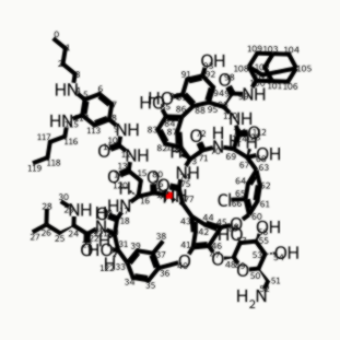 CCCCNc1ccc(NC(=O)NC(=O)C[C@@H]2NC(=O)[C@H](NC(=O)[C@@H](CC(C)C)NC)[C@H](O)c3ccc(c(C)c3)Oc3cc4cc(c3O[C@@H]3O[C@H](CN)[C@@H](O)[C@H](O)[C@H]3O)Oc3ccc(cc3Cl)[C@@H](O)[C@@H]3NC(=O)[C@H](NC(=O)[C@@H]4NC2=O)c2ccc(O)c(c2)-c2c(O)cc(O)cc2[C@@H](C(=O)NC2C4CC5CC(C4)CC2C5)NC3=O)cc1NCCCC